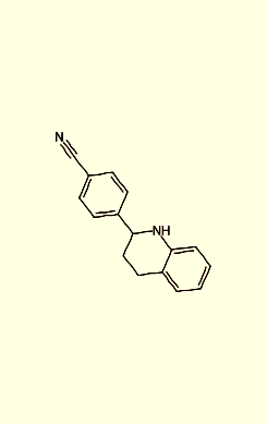 N#Cc1ccc(C2CCc3ccccc3N2)cc1